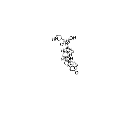 C[C@]12CC[C@H](N(CCO)C(=O)NC3CCCNC3)C[C@H]1CC[C@@H]1[C@@H]2CC[C@]2(C)[C@@H](c3ccc(=O)oc3)CC[C@]12O